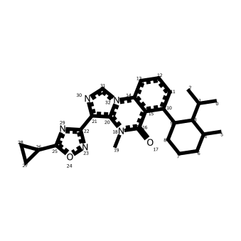 CC(C)C1C(C)CCCC1c1cccc2c1c(=O)n(C)c1c(-c3noc(C4CC4)n3)ncn21